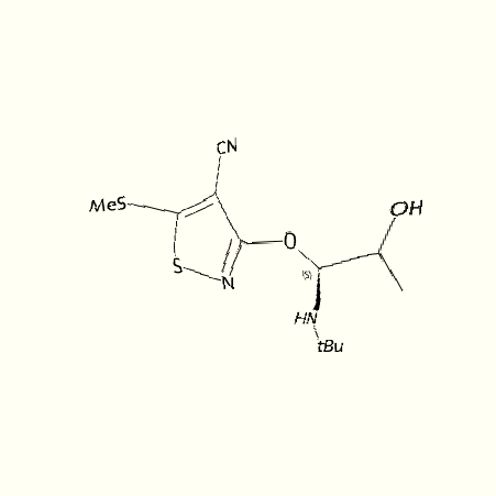 CSc1snc(O[C@H](NC(C)(C)C)C(C)O)c1C#N